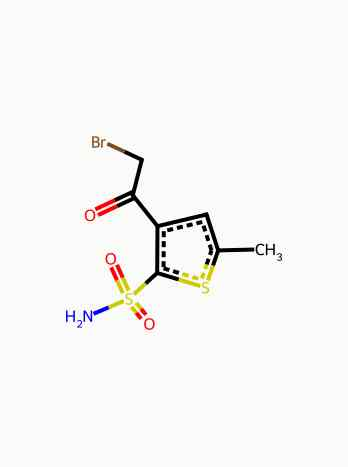 Cc1cc(C(=O)CBr)c(S(N)(=O)=O)s1